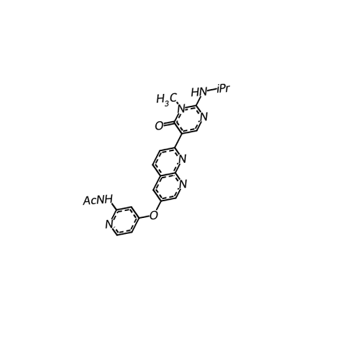 CC(=O)Nc1cc(Oc2cnc3nc(-c4cnc(NC(C)C)n(C)c4=O)ccc3c2)ccn1